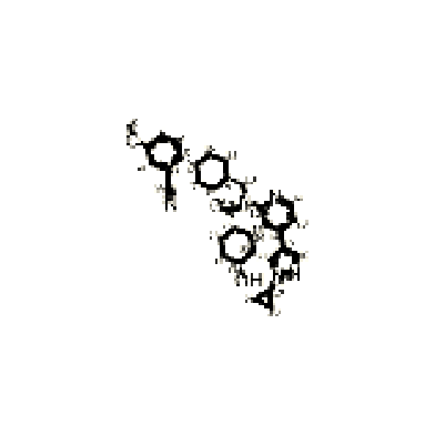 COc1ccc([C@H]2CC[C@H](CN(c3cc(-c4cnn(C5CC5)c4)ccn3)C(=O)[C@H]3CC[C@H](O)CC3)CC2)c(C#N)c1